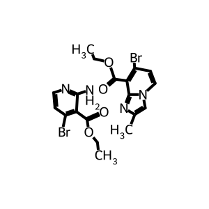 CCOC(=O)c1c(Br)ccn2cc(C)nc12.CCOC(=O)c1c(Br)ccnc1N